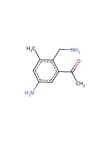 CC(=O)c1cc(N)cc(C)c1CN